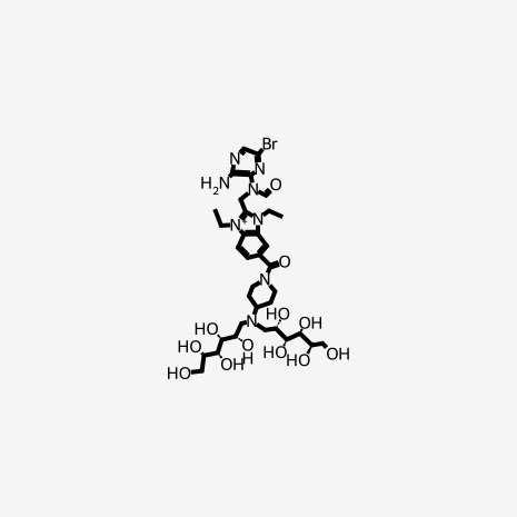 CCn1c(CN(C=O)c2nc(Br)cnc2N)[n+](CC)c2ccc(C(=O)N3CCC(N(C[C@H](O)[C@@H](O)[C@H](O)[C@H](O)CO)C[C@H](O)[C@@H](O)[C@H](O)[C@H](O)CO)CC3)cc21